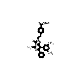 COC(=O)c1ccc(CCn2nc3c(-c4cc(C)nc(C)c4)c(-c4ccccc4)nc(N)n3c2=O)cc1